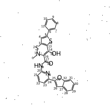 CN1Sc2cc(-c3ccccc3)sc2C(O)=C1C(=O)Nc1cccc(-c2cc3ccccc3o2)n1